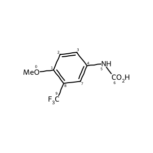 COc1ccc(NC(=O)O)cc1C(F)(F)F